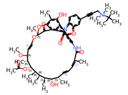 CO[C@H]1/C=C/O[C@@]2(C)Oc3c(C)c(O)c4c(=O)c(c5oc6cc(C#CC[N+](C)(C)C(C)(C)C)ccc6nc-5c4c3C2=O)NC(=O)/C(C)=C\C=C\[C@H](C)[C@H](O)[C@@H](C)[C@@H](C)[C@@H](C)[C@H](OC(C)=O)[C@@H]1C